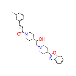 Cc1cccc(/C=C/C(=O)N2CCC(C(O)CN3CCC(c4nc5ccccc5o4)CC3)CC2)c1